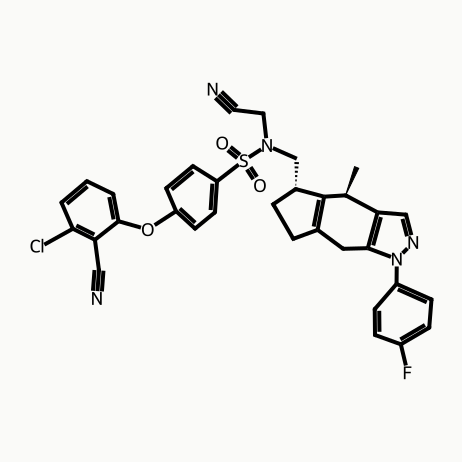 C[C@@H]1C2=C(CC[C@@H]2CN(CC#N)S(=O)(=O)c2ccc(Oc3cccc(Cl)c3C#N)cc2)Cc2c1cnn2-c1ccc(F)cc1